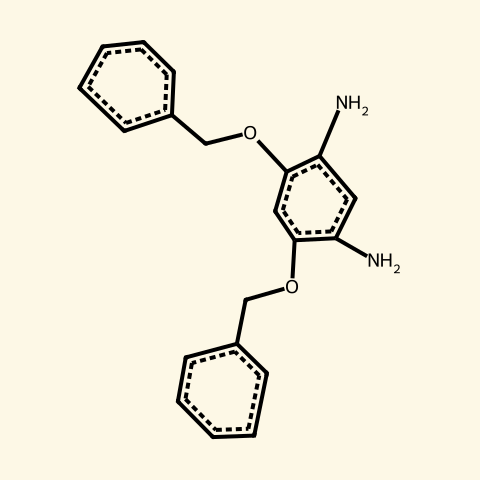 Nc1cc(N)c(OCc2ccccc2)cc1OCc1ccccc1